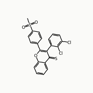 CS(=O)(=O)c1ccc(-c2oc3ccccc3c(=S)c2-c2cccc(Cl)c2Cl)cc1